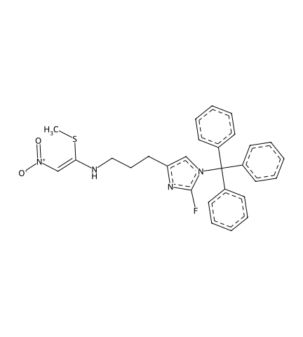 CS/C(=C\[N+](=O)[O-])NCCCc1cn(C(c2ccccc2)(c2ccccc2)c2ccccc2)c(F)n1